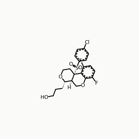 O=S(=O)(c1ccc(Cl)cc1)[C@@]12CCO[C@@H](CCCO)[C@@H]1COc1c(F)ccc(F)c12